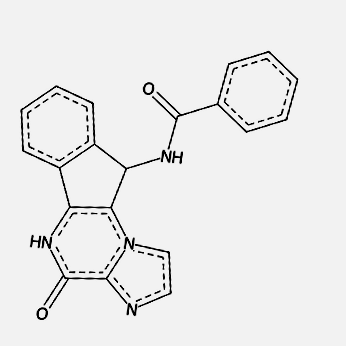 O=C(NC1c2ccccc2-c2[nH]c(=O)c3nccn3c21)c1ccccc1